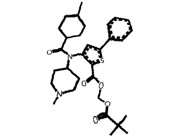 CC1CCC(C(=O)N(c2cc(-c3ccccc3)sc2C(=O)OCOC(=O)C(C)(C)C)C2CCN(C)CC2)CC1